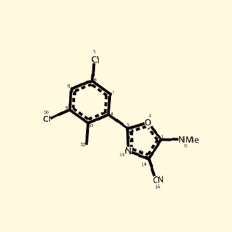 CNc1oc(-c2cc(Cl)cc(Cl)c2C)nc1C#N